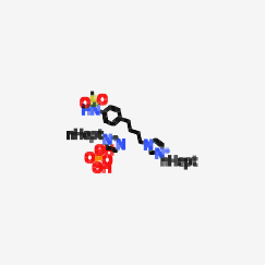 CCCCCCC[n+]1ccn(CCCCc2ccc(NS(C)(=O)=O)cc2)c1.CCCCCCCn1ccnc1.O=P([O-])(O)O